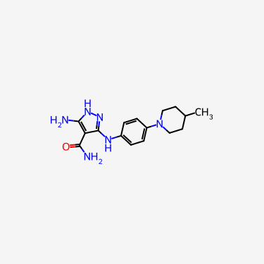 CC1CCN(c2ccc(Nc3n[nH]c(N)c3C(N)=O)cc2)CC1